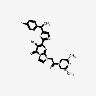 CC(c1ccc(F)cc1)c1cnc(-c2nc3n(CC(=O)N4C[C@@H](C)O[C@@H](C)C4)ccn3c(=O)c2O)s1